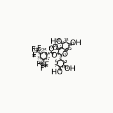 O=C(Oc1c(-c2ccc(O)c(O)c2)oc2cc(O)cc(O)c2c1=O)c1cc(C(F)(F)F)cc(C(F)(F)F)c1